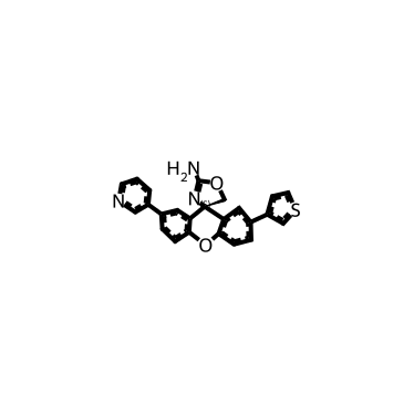 NC1=N[C@@]2(CO1)c1cc(-c3cccnc3)ccc1Oc1ccc(-c3ccsc3)cc12